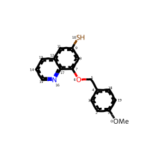 COc1ccc(COc2cc(S)cc3cccnc23)cc1